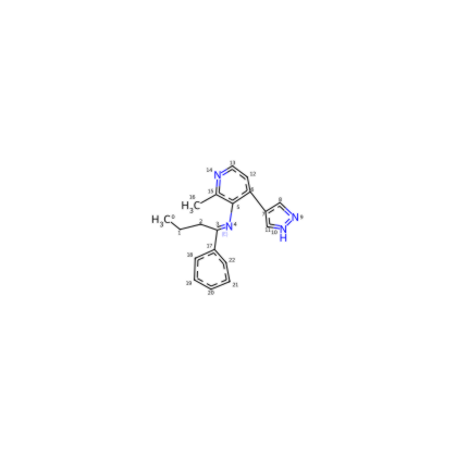 CCC/C(=N\c1c(-c2cn[nH]c2)ccnc1C)c1ccccc1